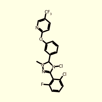 CN1N=C(c2c(F)cccc2Cl)N(Cl)C1c1cccc(Oc2ccc(C(F)(F)F)cn2)c1